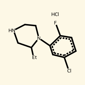 CCC1CNCCN1c1cc(Cl)ccc1F.Cl